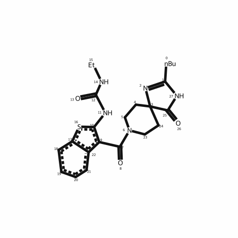 CCCCC1=NC2(CCN(C(=O)c3c(NC(=O)NCC)sc4ccccc34)CC2)C(=O)N1